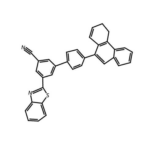 N#Cc1cc(-c2ccc(-c3cc4ccccc4c4c3C=CCC4)cc2)cc(-c2nc3ccccc3s2)c1